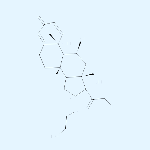 C[C@]12C=CC(=O)C=C1CC[C@@H]1[C@@H]2[C@@H](O)C[C@@]2(C)[C@H]1C[C@@H](OCCO)[C@]2(O)C(=O)CCl